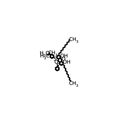 CCCCCCCCCCCCc1cc(Sc2ccccc2)c2c(c1O)C(=O)c1c(O)c(CCCCCCCCCCCC)cc(Sc3ccc(C(C)(C)C)cc3)c1C2=O